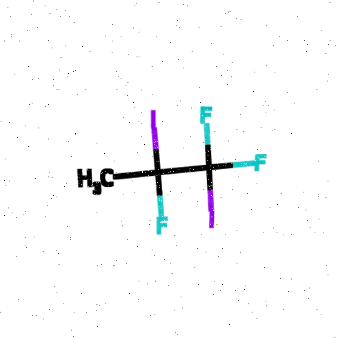 CC(F)(I)C(F)(F)I